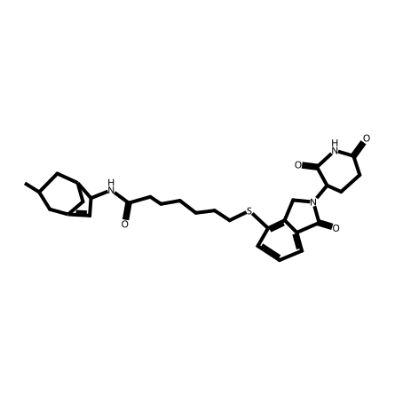 CC1CC2=CC(NC(=O)CCCCCCSc3cccc4c3CN(C3CCC(=O)NC3=O)C4=O)C(C2)C1